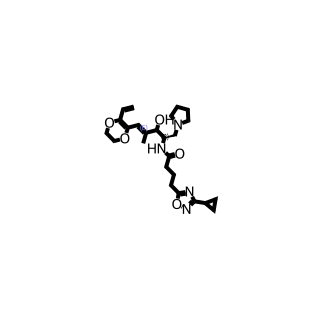 C=CC1=C(/C=C(\C)C(O)[C@@H](CN2CCCC2)NC(=O)CCCc2nc(C3CC3)no2)OCCO1